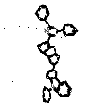 c1ccc(-c2nc(-c3ccccc3)nc(-c3cccc4c3Cc3ccc(-c5ccc6c(c5)c5ccccc5n6-c5ccccc5)cc3-4)n2)cc1